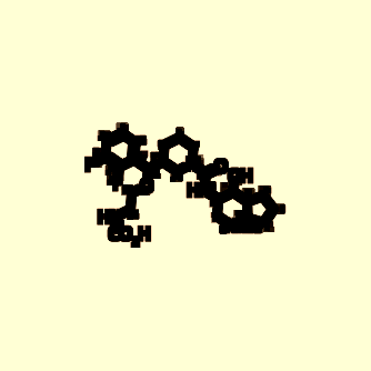 CNCC(NC(=O)N1CCCC(C(OCCNC(=O)O)c2cccc(F)c2F)C1)C(O)C1CCCC1